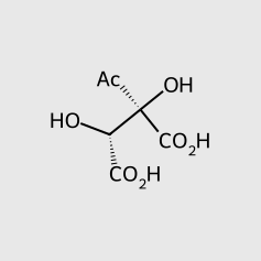 CC(=O)[C@](O)(C(=O)O)[C@@H](O)C(=O)O